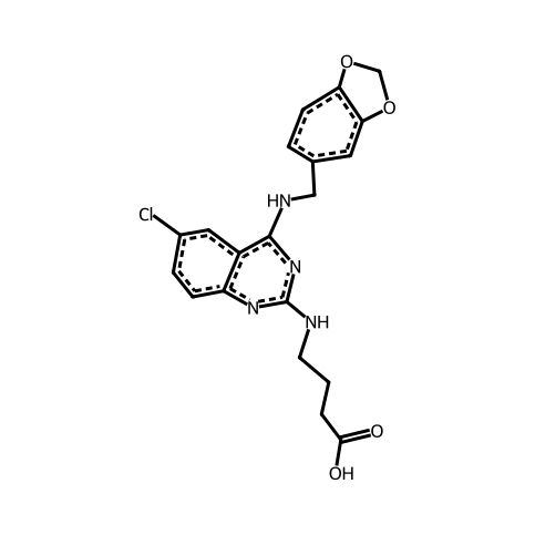 O=C(O)CCCNc1nc(NCc2ccc3c(c2)OCO3)c2cc(Cl)ccc2n1